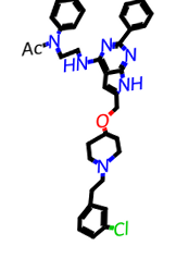 CC(=O)N(CCNc1nc(-c2ccccc2)nc2[nH]c(COC3CCN(CCc4cccc(Cl)c4)CC3)cc12)c1ccccc1